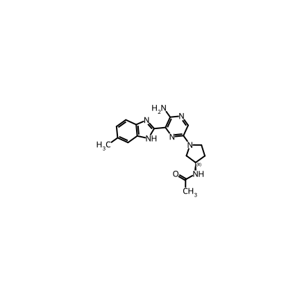 CC(=O)N[C@@H]1CCN(c2cnc(N)c(-c3nc4ccc(C)cc4[nH]3)n2)C1